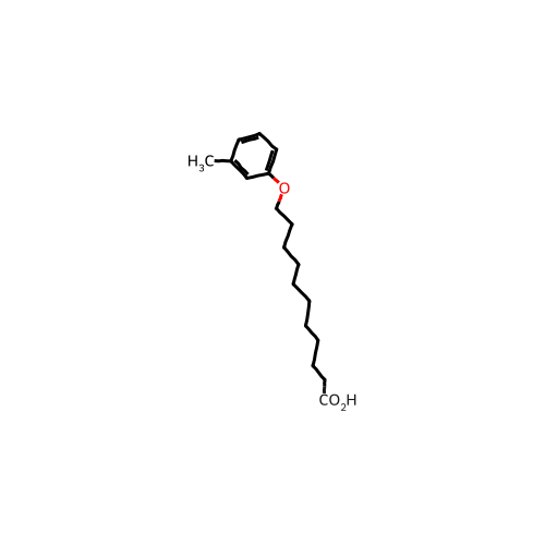 Cc1cccc(OCCCCCCCCCCC(=O)O)c1